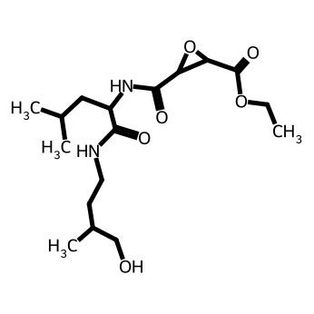 CCOC(=O)C1OC1C(=O)NC(CC(C)C)C(=O)NCCC(C)CO